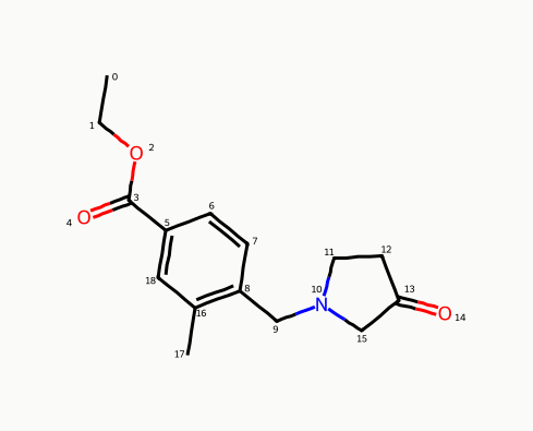 CCOC(=O)c1ccc(CN2CCC(=O)C2)c(C)c1